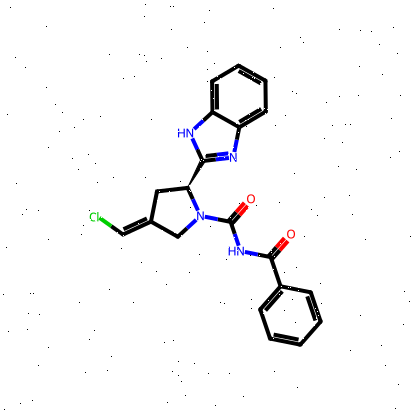 O=C(NC(=O)N1CC(=CCl)C[C@H]1c1nc2ccccc2[nH]1)c1ccccc1